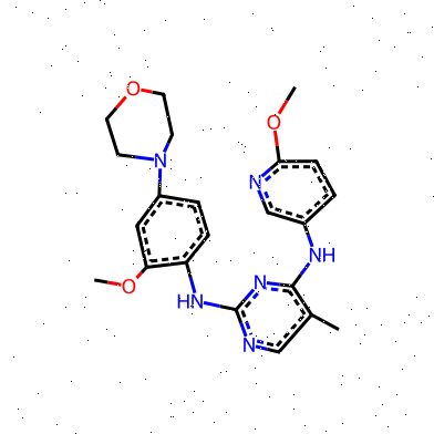 COc1ccc(Nc2nc(Nc3ccc(N4CCOCC4)cc3OC)ncc2C)cn1